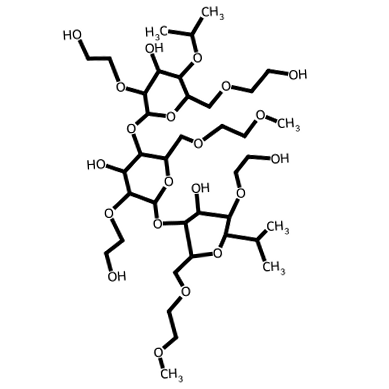 COCCOCC1OC(OC2C(COCCOC)OC(C(C)C)C(OCCO)C2O)C(OCCO)C(O)C1OC1OC(COCCO)C(OC(C)C)C(O)C1OCCO